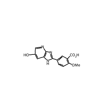 COc1ccc(-c2nc3ncc(O)cc3[nH]2)cc1C(=O)O